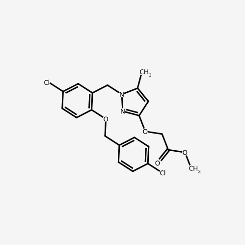 COC(=O)COc1cc(C)n(Cc2cc(Cl)ccc2OCc2ccc(Cl)cc2)n1